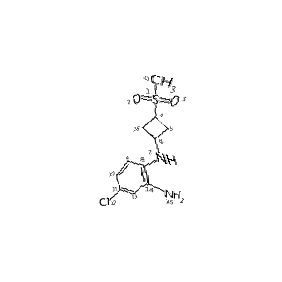 CS(=O)(=O)C1CC(Nc2ccc(Cl)cc2N)C1